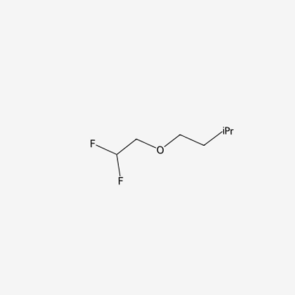 CC(C)CCOCC(F)F